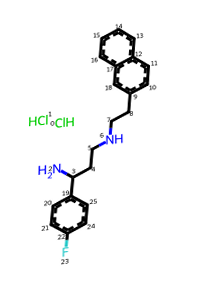 Cl.Cl.NC(CCNCCc1ccc2ccccc2c1)c1ccc(F)cc1